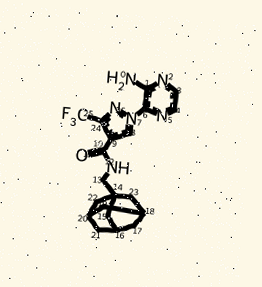 Nc1nccnc1-n1cc(C(=O)NCC23CC4CC(CC(C4)C2)C3)c(C(F)(F)F)n1